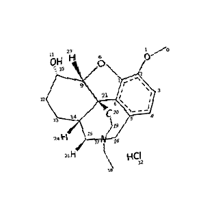 COc1ccc2c3c1O[C@H]1[C@@H](O)CC[C@H]4[C@@H](C2)N(C)CC[C@@]341.Cl